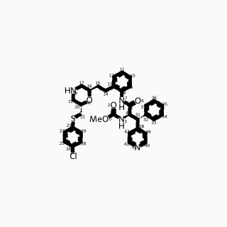 COC(=O)N[C@@H](C(=O)Nc1ccccc1CC[C@@H]1CNC[C@@H](CSc2ccc(Cl)cc2)O1)[C@H](c1ccccc1)c1ccncc1